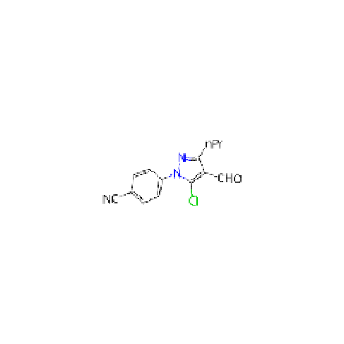 CCCc1nn(-c2ccc(C#N)cc2)c(Cl)c1C=O